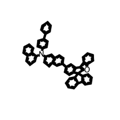 c1ccc(-c2ccc(N(c3ccc4cc(-c5ccc6c(c5)-c5c(oc7ccccc57)C65c6ccccc6-c6ccccc65)ccc4c3)c3cccc4ccccc34)cc2)cc1